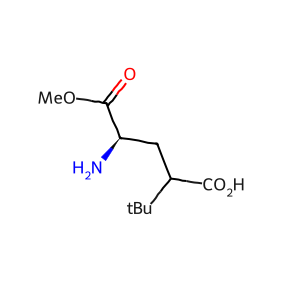 COC(=O)[C@H](N)CC(C(=O)O)C(C)(C)C